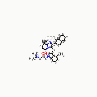 Cc1cccc2c1c(Cc1c(-c3ccc4ccccc4c3C(=O)[O-])nc3ccccn13)cn2CC(O)CN(C)C.[Na+]